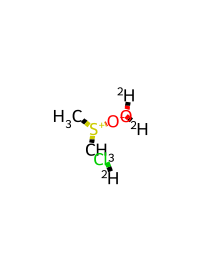 C[S+](C)[O-].[2H]Cl.[2H]O[2H]